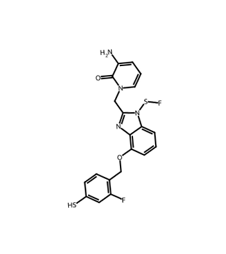 Nc1cccn(Cc2nc3c(OCc4ccc(S)cc4F)cccc3n2SF)c1=O